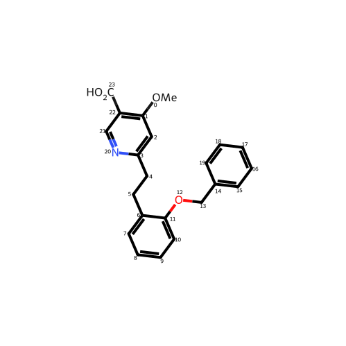 COc1cc(CCc2ccccc2OCc2ccccc2)ncc1C(=O)O